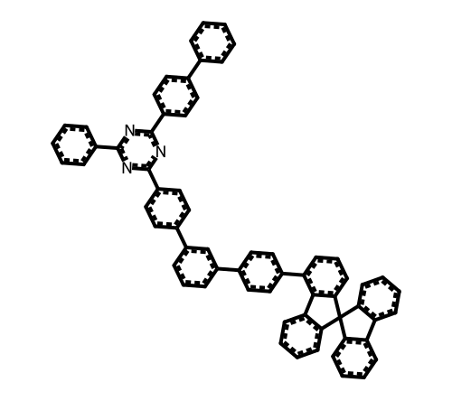 c1ccc(-c2ccc(-c3nc(-c4ccccc4)nc(-c4ccc(-c5cccc(-c6ccc(-c7cccc8c7-c7ccccc7C87c8ccccc8-c8ccccc87)cc6)c5)cc4)n3)cc2)cc1